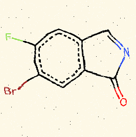 O=C1N=Cc2cc(F)c(Br)cc21